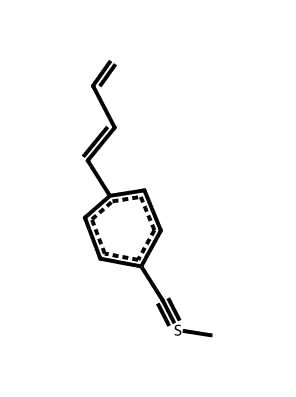 C=C/C=C/c1ccc(C#SC)cc1